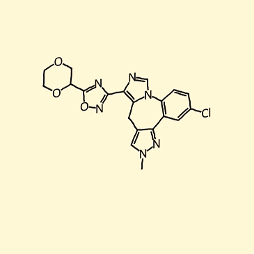 Cn1cc2c(n1)-c1cc(Cl)ccc1-n1cnc(-c3noc(C4COCCO4)n3)c1C2